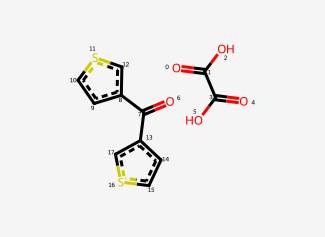 O=C(O)C(=O)O.O=C(c1ccsc1)c1ccsc1